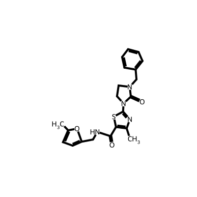 Cc1ccc(CNC(=O)c2sc(N3CCN(Cc4ccccc4)C3=O)nc2C)o1